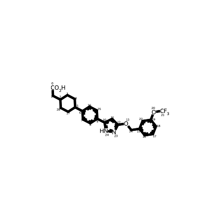 O=C(O)CC1CCC(c2ccc(-c3cc(OCc4cccc(OC(F)(F)F)c4)n[nH]3)cc2)CC1